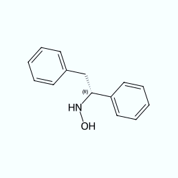 ON[C@H](Cc1ccccc1)c1ccccc1